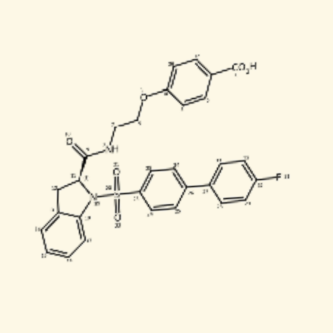 O=C(O)c1ccc(OCCNC(=O)[C@@H]2Cc3ccccc3N2S(=O)(=O)c2ccc(-c3ccc(F)cc3)cc2)cc1